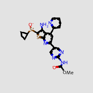 COC(=O)Nc1ncc(-c2cc(-c3ccccn3)c3c(N)c([S+]([O-])C4CCC4)sc3n2)cn1